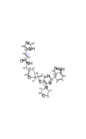 CC1(c2cc3nc(-c4cccc5[nH]ncc45)nc(N4CCOCC4)c3s2)CCC(CNC(=O)/C=C/c2cnc[nH]2)=CO1